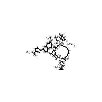 CC[C@@H]1CC/C=C\[C@H]2C[C@@]2(C(=O)NS(=O)(=O)C2(C)CC2)NC(=O)[C@@H]2C[C@@H](Oc3cc(-n4ccc(C(C)C)n4)nc4cc(OC)ccc34)CN2C(=O)[C@@H](NC(=O)OC(C)(C)C(F)(F)F)[C@H](C)C1